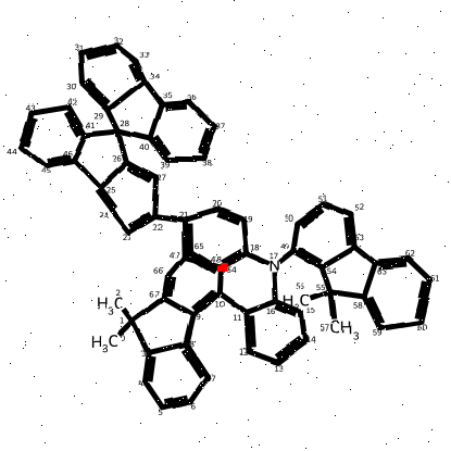 CC1(C)c2ccccc2-c2c(-c3ccccc3N(c3ccc(-c4ccc5c(c4)C4(c6ccccc6-c6ccccc64)c4ccccc4-5)cc3)c3cccc4c3C(C)(C)c3ccccc3-4)cccc21